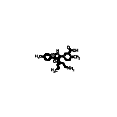 C=C/C=C(\CCN)C1=C(N2CCN(C)C(C(=O)O)C2)NNC1(C)c1ccc(C)cc1